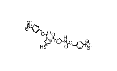 O=C(NC1CCN(C(=O)[C@@H]2C[C@H](S)CN2C(=O)OCc2ccc([N+](=O)[O-])cc2)C1)OCc1ccc([N+](=O)[O-])cc1